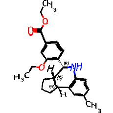 CCOC(=O)c1ccc([C@@H]2Nc3ccc(C)cc3[C@@H]3CCC[C@@H]32)c(OCC)c1